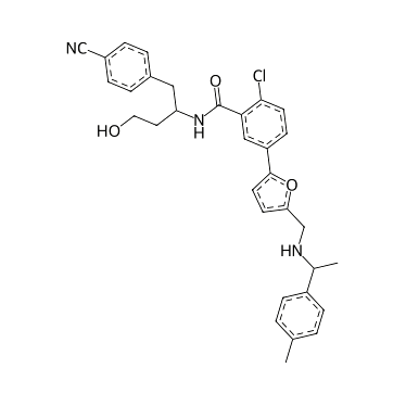 Cc1ccc(C(C)NCc2ccc(-c3ccc(Cl)c(C(=O)NC(CCO)Cc4ccc(C#N)cc4)c3)o2)cc1